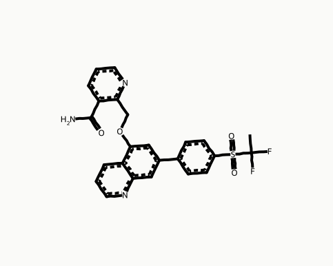 CC(F)(F)S(=O)(=O)c1ccc(-c2cc(OCc3ncccc3C(N)=O)c3cccnc3c2)cc1